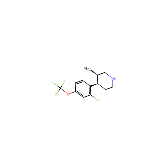 C[C@H]1CNCC[C@H]1c1ccc(OC(F)(F)F)cc1F